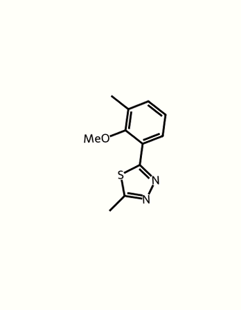 COc1c(C)cccc1-c1nnc(C)s1